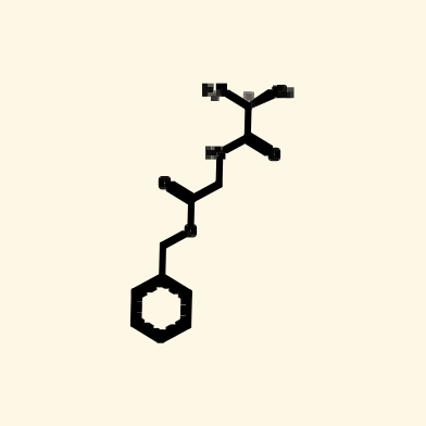 CC(C)(C)[C@H](N)C(=O)NCC(=O)OCc1ccccc1